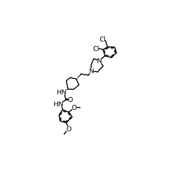 COc1ccc(NC(=O)N[C@H]2CC[C@H](CCN3CCN(c4cccc(Cl)c4Cl)CC3)CC2)c(OC)c1